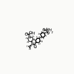 NS(=O)(=O)c1ccc(-c2ccc(C(=O)N(C3CC3)C3CCN(C(=O)O)CC3)cc2)cc1